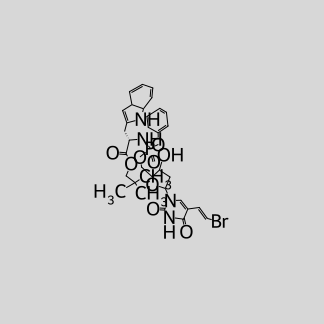 CC(C)(C)COC(=O)[C@H](CC1=CC2C=CC=CC2N1)NP(=O)(OCC1OC(n2cc(/C=C/Br)c(=O)[nH]c2=O)CC1O)Oc1ccccc1